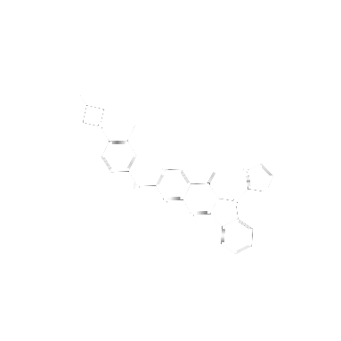 Cc1cc(Nc2ncc3c(=O)n4c(nc3n2)c2ccccc2n4-c2nccs2)ccc1N1CC(O)C1